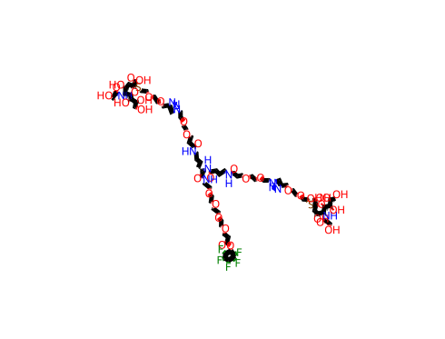 O=C(CCOCCOCCn1cc(COCCOCCS[C@]2(C(=O)O)C[C@H](O)[C@@H](NC(=O)CO)[C@H]([C@H](O)[C@H](O)CO)O2)nn1)NCCCC[C@H](NC(=O)CCCNC(=O)CCOCCOCCn1cc(COCCOCCS[C@]2(C(=O)O)C[C@H](O)[C@@H](NC(=O)CO)[C@H]([C@H](O)[C@H](O)CO)O2)nn1)C(=O)NCCOCCOCCOCCOCCC(=O)Oc1c(F)c(F)c(F)c(F)c1F